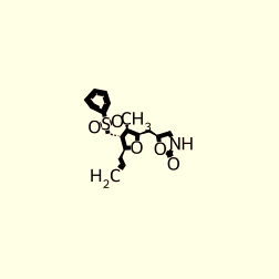 C=CC[C@@H]1O[C@H](C[C@H]2CNC(=O)O2)[C@H](C)[C@H]1CS(=O)(=O)c1ccccc1